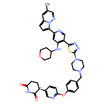 N#Cc1cnn2c(-c3cc(NC4CCOCC4)c(-c4nnc(N5CCN(Cc6ccc(Oc7ccc([C@@H]8CCC(=O)NC8=O)cn7)cc6)CC5)s4)cn3)ccc2c1